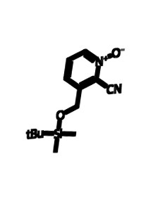 CC(C)(C)[Si](C)(C)OCc1ccc[n+]([O-])c1C#N